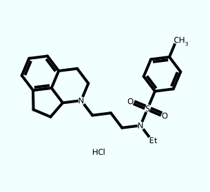 CCN(CCCN1CCc2cccc3c2C1CC3)S(=O)(=O)c1ccc(C)cc1.Cl